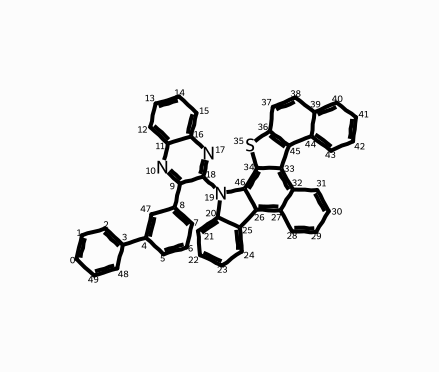 c1ccc(-c2cccc(-c3nc4ccccc4nc3-n3c4ccccc4c4c5ccccc5c5c(sc6ccc7ccccc7c65)c43)c2)cc1